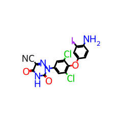 N#Cc1nn(-c2cc(Cl)c(Oc3ccc(N)c(I)c3)c(Cl)c2)c(=O)[nH]c1=O